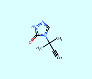 C#CC(C)(C)n1cn[nH]c1=O